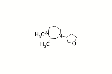 C[C@H]1CN(C2CCOC2)CCCN1C